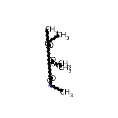 CCCCCC/C=C\COC(=O)CCCCCCCN(CCCCCCCC(=O)OC(CCCCCC)CCCCCC)C(=O)SCCN(C)C